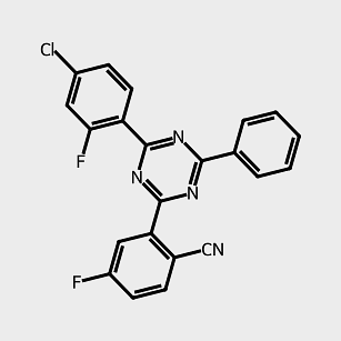 N#Cc1ccc(F)cc1-c1nc(-c2ccccc2)nc(-c2ccc(Cl)cc2F)n1